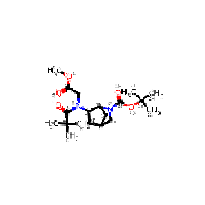 COC(=O)CN(C(=O)C(C)(C)C)C1CC2CC1N(C(=O)OC(C)(C)C)C2